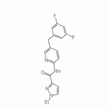 CCn1ccc(C(=O)Nc2ccc(Cc3cc(F)cc(F)c3)cn2)n1